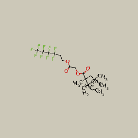 CCC(C)(C)C(C)(CC(C)(C)C)C(=O)OCC(=O)OCCC(F)(F)C(F)(F)C(F)(F)C(F)(F)F